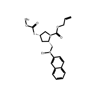 C=CCOC(=O)N1C[C@@H](SC(=O)OC(C)(C)C)C[C@H]1CN(CC)c1ccc2ccccc2c1